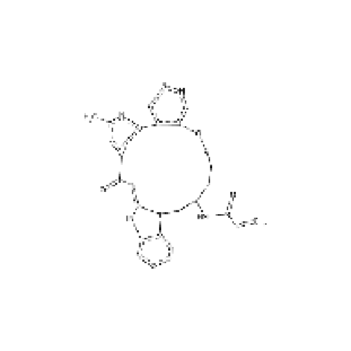 C=CC(=O)NC1CCCOc2cnncc2-c2cc(cc(C)n2)C(=O)/N=C2\Nc3ccccc3N2C1